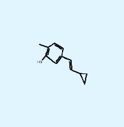 Cc1ccc(/C=C/C2CC2)cc1O